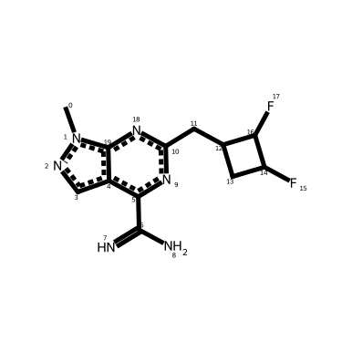 Cn1ncc2c(C(=N)N)nc(CC3CC(F)C3F)nc21